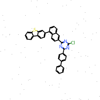 Clc1nc(-c2ccc(-c3ccccc3)cc2)nc(-c2ccc3c(-c4ccc5c(c4)sc4ccccc45)cccc3c2)n1